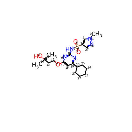 Cn1cc(S(=O)(=O)Nc2nc(OCCC(C)(C)O)cc(C3CCCCC3)n2)cn1